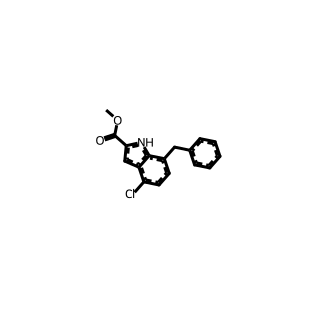 COC(=O)c1cc2c(Cl)ccc(Cc3ccccc3)c2[nH]1